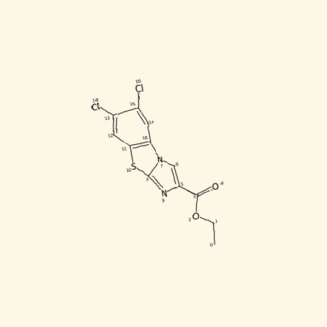 CCOC(=O)c1cn2c(n1)sc1cc(Cl)c(Cl)cc12